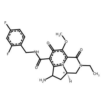 CCN1C[C@H]2CC(N)c3c(C(=O)NCc4ccc(F)cc4F)c(=O)c(OC)c(n32)C1=O